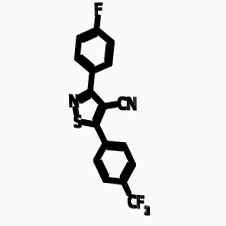 N#Cc1c(-c2ccc(F)cc2)nsc1-c1ccc(C(F)(F)F)cc1